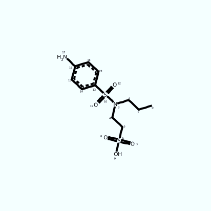 CCCN(CCS(=O)(=O)O)S(=O)(=O)c1ccc(N)cc1